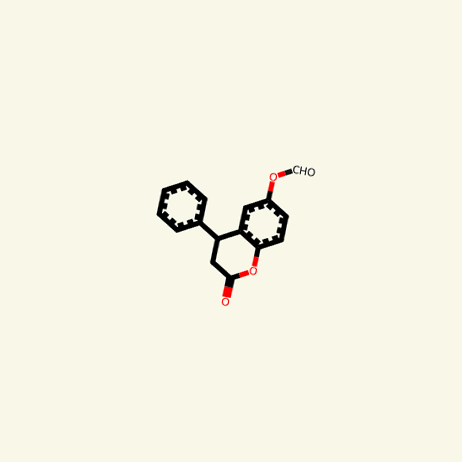 O=COc1ccc2c(c1)C(c1ccccc1)CC(=O)O2